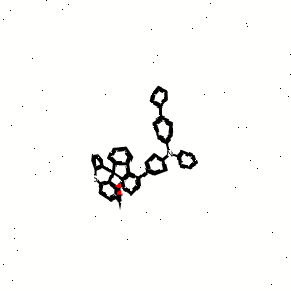 c1ccc(-c2ccc(N(c3ccccc3)c3ccc(-c4cccc5c4-c4ccccc4C54c5ccccc5Sc5ccc6ccccc6c54)cc3)cc2)cc1